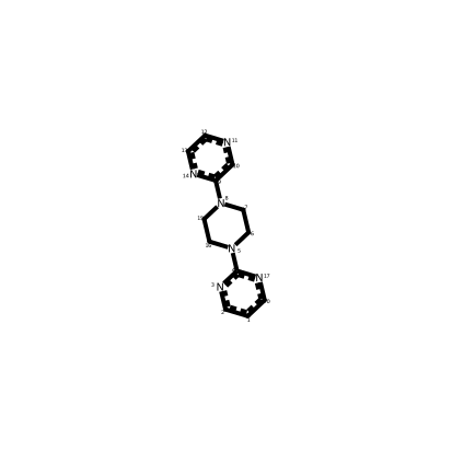 [c]1ccnc(N2CCN(c3cnccn3)CC2)n1